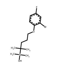 CC(C)(CCCOc1ccc(F)cc1Br)[Si](C)(C)O